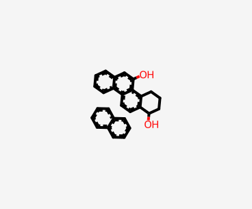 Oc1cc2ccccc2c2ccc3c(c12)CCCC3O.c1ccc2ccccc2c1